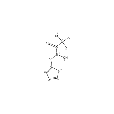 CCC(C)(C)C(=O)N(O)Cc1cccs1